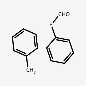 Cc1ccccc1.O=C[P]c1ccccc1